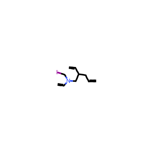 C=CCC(C=C)CN(C=C)CI